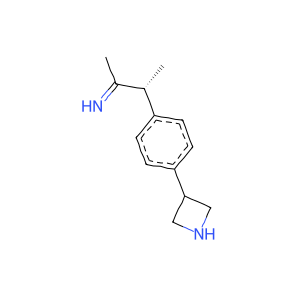 CC(=N)[C@H](C)c1ccc(C2CNC2)cc1